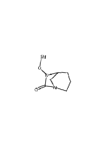 O=C1N2CCCC(C2)N1OS